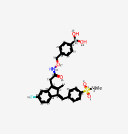 CNS(=O)(=O)c1ccc(C=C2C(C)=C(CC(=O)NOCc3ccc(B(O)O)cc3)c3cc(F)ccc32)cc1